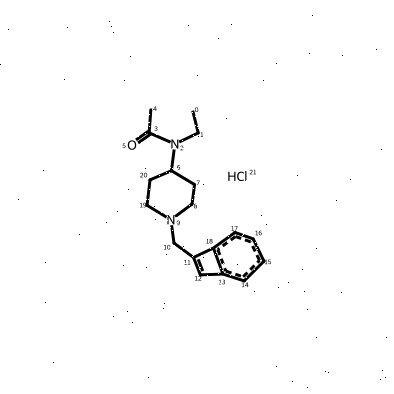 CCN(C(C)=O)C1CCN(CC2=Cc3ccccc32)CC1.Cl